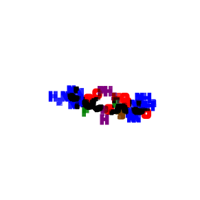 Nc1nc2c(nnn2[C@@H]2S[C@H](COPCC[C@H]3[C@H](F)[C@H](n4cnc5c(N)ncnc54)O[C@@H]3COP)[C@@H](F)[C@H]2OO)c(=O)[nH]1